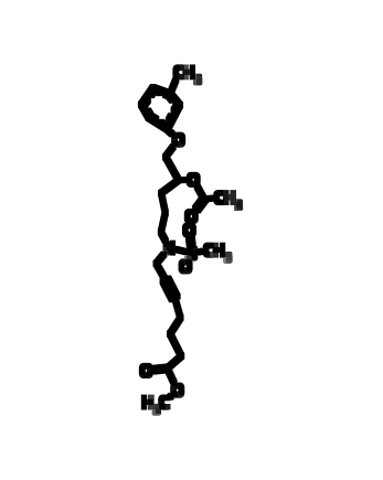 COC(=O)CCCC#CCN(CCCC(COc1cccc(C)c1)OC(C)=O)S(C)(=O)=O